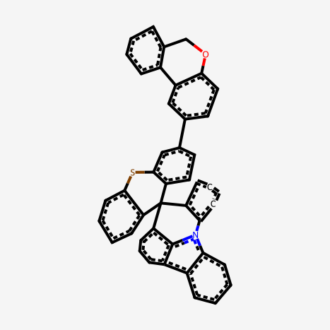 c1ccc2c(c1)COc1ccc(-c3ccc4c(c3)Sc3ccccc3C43c4ccccc4-n4c5ccccc5c5cccc3c54)cc1-2